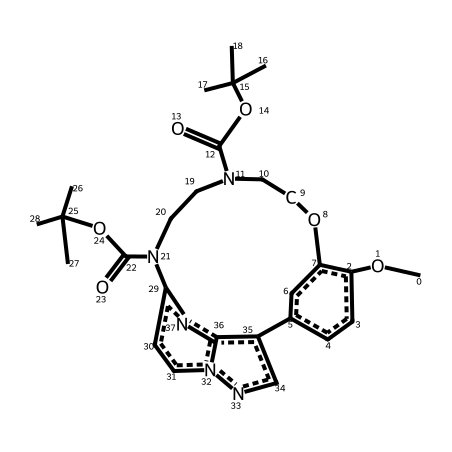 COc1ccc2cc1OCCN(C(=O)OC(C)(C)C)CCN(C(=O)OC(C)(C)C)c1ccn3ncc-2c3n1